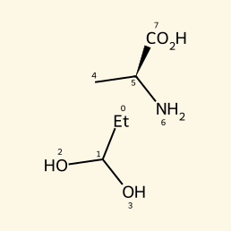 CCC(O)O.C[C@H](N)C(=O)O